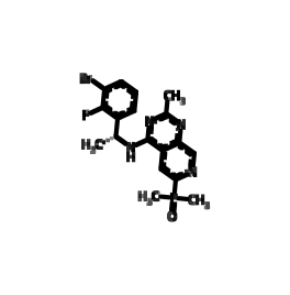 Cc1nc(N[C@H](C)c2cccc(Br)c2F)c2cc(P(C)(C)=O)ncc2n1